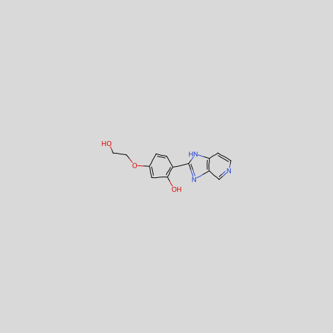 OCCOc1ccc(-c2nc3cnccc3[nH]2)c(O)c1